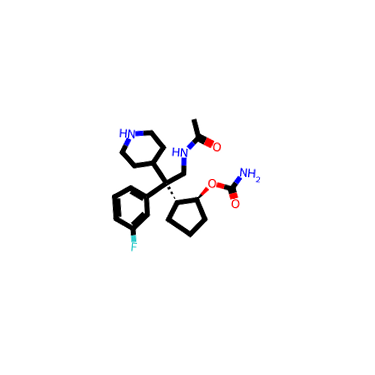 CC(=O)NCC(c1cccc(F)c1)(C1CCNCC1)[C@H]1CCC[C@@H]1OC(N)=O